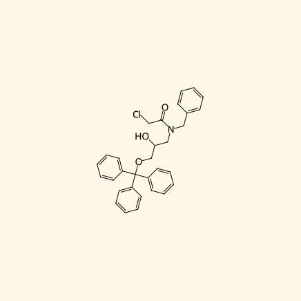 O=C(CCl)N(Cc1ccccc1)CC(O)COC(c1ccccc1)(c1ccccc1)c1ccccc1